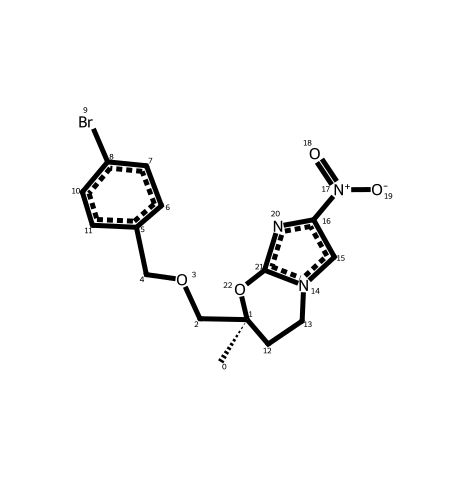 C[C@@]1(COCc2ccc(Br)cc2)CCn2cc([N+](=O)[O-])nc2O1